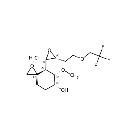 CO[C@@H]1[C@H](O)CC[C@]2(CO2)[C@H]1[C@@]1(C)O[C@@H]1CCOCC(F)(F)F